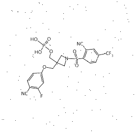 N#Cc1ccc(OCC2(COP(=O)(O)O)CN(S(=O)(=O)c3ccc(C(F)(F)F)cc3C#N)C2)cc1F